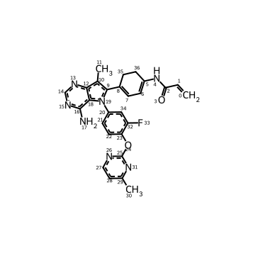 C=CC(=O)NC1=CC=C(c2c(C)c3ncnc(N)c3n2-c2ccc(Oc3nccc(C)n3)c(F)c2)CC1